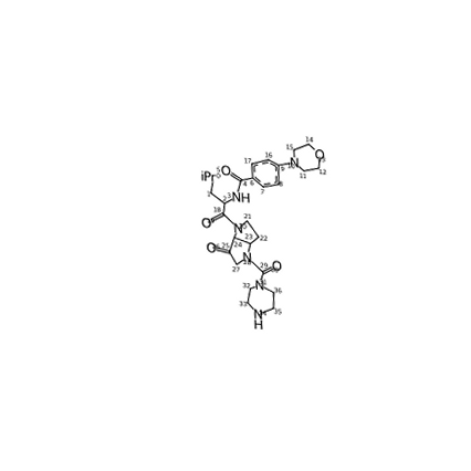 CC(C)CC(NC(=O)c1ccc(N2CCOCC2)cc1)C(=O)N1CCC2C1C(=O)CN2C(=O)N1CCNCC1